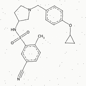 Cc1ccc(C#N)cc1S(=O)(=O)NC1CCN(Cc2ccc(OC3CC3)cc2)C1